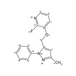 Cc1cc(COc2cccnc2F)n(-c2ccccc2)n1